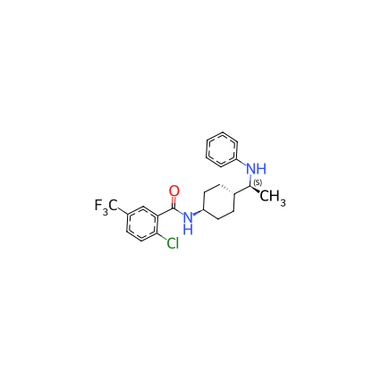 C[C@H](Nc1ccccc1)[C@H]1CC[C@H](NC(=O)c2cc(C(F)(F)F)ccc2Cl)CC1